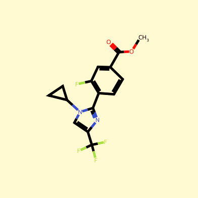 COC(=O)c1ccc(-c2nc(C(F)(F)F)cn2C2CC2)c(F)c1